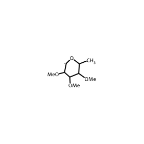 COC1[CH]OC(C)C(OC)C1OC